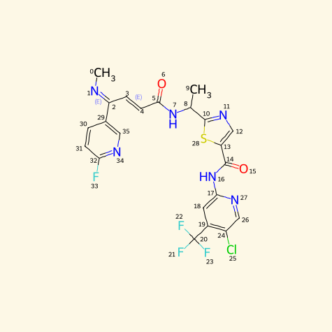 C/N=C(\C=C\C(=O)NC(C)c1ncc(C(=O)Nc2cc(C(F)(F)F)c(Cl)cn2)s1)c1ccc(F)nc1